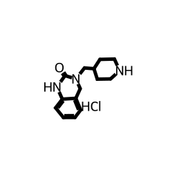 Cl.O=C1Nc2ccccc2CN1CC1CCNCC1